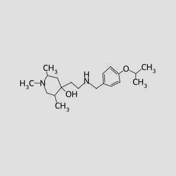 CC(C)Oc1ccc(CNCCC2(O)CC(C)N(C)CC2C)cc1